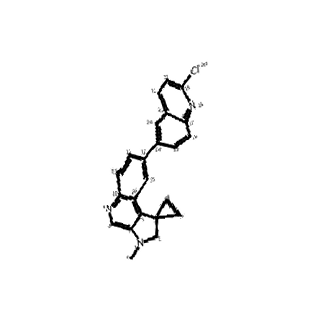 CN1CC2(CC2)c2c1cnc1ccc(-c3ccc4nc(Cl)ccc4c3)cc21